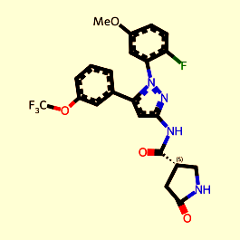 COc1ccc(F)c(-n2nc(NC(=O)[C@@H]3CNC(=O)C3)cc2-c2cccc(OC(F)(F)F)c2)c1